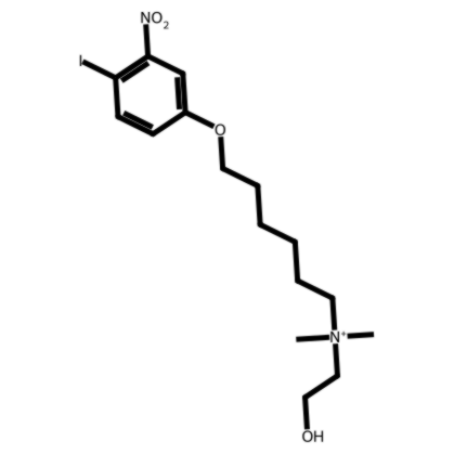 C[N+](C)(CCO)CCCCCCOc1ccc(I)c([N+](=O)[O-])c1